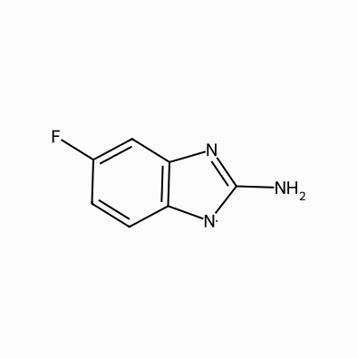 NC1=Nc2cc(F)ccc2[N]1